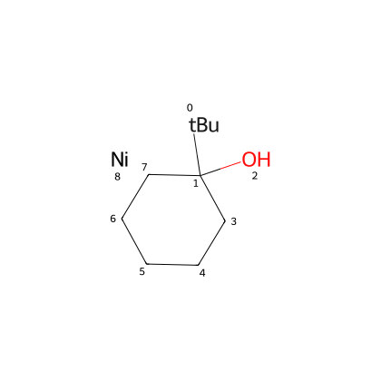 CC(C)(C)C1(O)CCCCC1.[Ni]